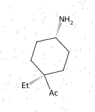 CC[C@]1(C(C)=O)CC[C@H](N)CC1